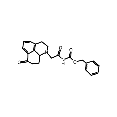 O=C(CN1CCc2cccc3c2C1CCC3=O)NC(=O)OCc1ccccc1